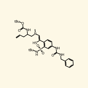 C=CCC(CN(C)/C=C(\S)c1ccc(NC(=O)NCc2ccccc2)cc1S(=O)(=O)NC(C)(C)C)NC(=O)OC(C)(C)C